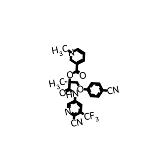 CN1C=CC=C(C(=O)O[C@@](C)(COc2ccc(C#N)cc2)C(=O)Nc2cnc(C#N)c(C(F)(F)F)c2)C1